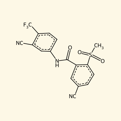 CS(=O)(=O)c1ccc(C#N)cc1C(=O)Nc1ccc(C(F)(F)F)c(C#N)c1